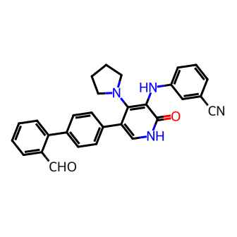 N#Cc1cccc(Nc2c(N3CCCC3)c(-c3ccc(-c4ccccc4C=O)cc3)c[nH]c2=O)c1